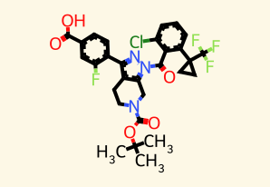 CC(C)(C)OC(=O)N1CCc2c(-c3ccc(C(=O)O)cc3F)nn(C(=O)c3c(Cl)cccc3C3(C(F)(F)F)CC3)c2C1